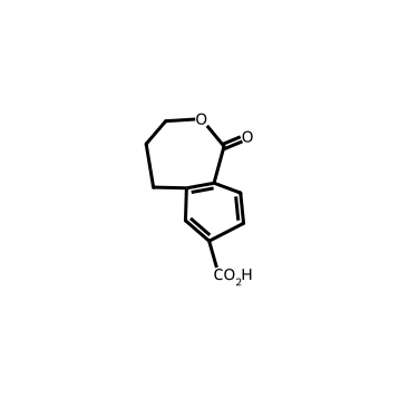 O=C(O)c1ccc2c(c1)CCCOC2=O